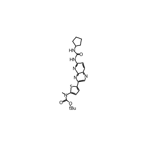 CN(C(=O)OC(C)(C)C)c1ccc(-c2cnc3ccc(NC(=O)NC4CCCC4)nc3n2)s1